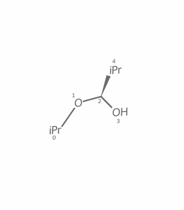 CC(C)O[C@H](O)C(C)C